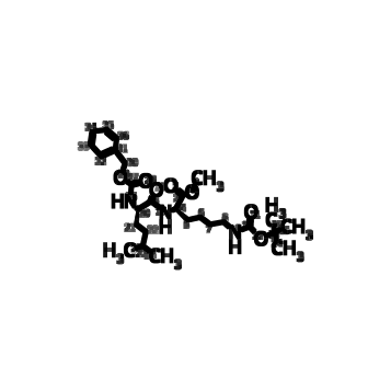 COC(=O)[C@@H](CCCCNC(=O)OC(C)(C)C)NC(=O)[C@@H](CCC(C)C)NC(=O)OCc1ccccc1